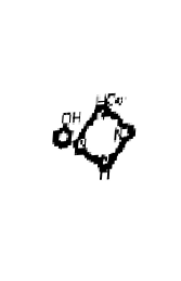 C1=Cc2cc3ccc(cc4nc(cc5ccc(cc1n2)[nH]5)C=C4)[nH]3.Oc1ccccc1.[Co]